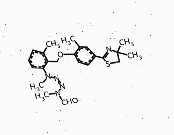 Cc1cc(C2=NC(C)(C)CS2)ccc1OCc1c(C)cccc1N(C)/N=N\N(C)C=O